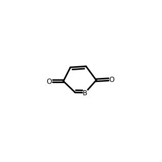 O=C1B=CC(=O)C=C1